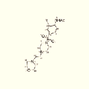 CC(=O)Nc1ccc(S(=O)(=O)N2CCN(CCN3CCOCC3)CC2)cc1C